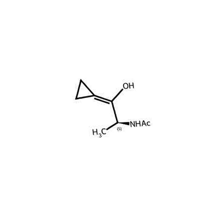 CC(=O)N[C@@H](C)C(O)=C1CC1